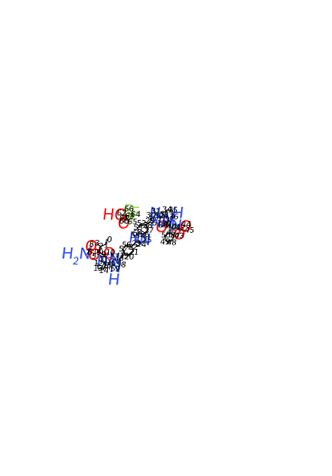 CCC(C)[C@H](OC(N)=O)C(=O)N1CCC[C@H]1c1nc(-c2ccc(-c3cnc4cc(-c5cnc([C@@H]6CCCN6C(=O)C(NC(=O)OC)C6CCCC6)[nH]5)ccc4n3)cc2)c[nH]1.O=C(O)C(F)(F)F